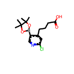 CC1(C)OB(c2cnc(Cl)cc2CCCC(=O)O)OC1(C)C